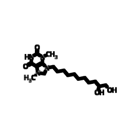 CN1CN(CCCCCCCCCC(O)CO)c2c1c(=O)[nH]c(=O)n2C